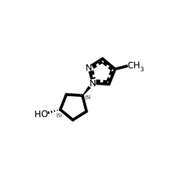 Cc1cnn([C@H]2CC[C@H](O)C2)c1